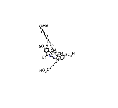 CCN1/C(=C/C=C/C2=[N+](CCCCCC(=O)O)c3ccc(S(=O)(=O)O)cc3C2(C)CCOCCOCCOCCOCCOCCOC)C(C)(C)c2cc(S(=O)(=O)O)ccc21